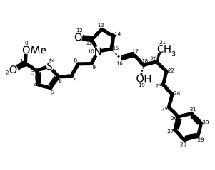 COC(=O)c1ccc(CCCN2C(=O)CC[C@@H]2C=C[C@@H](O)[C@@H](C)CCCCc2ccccc2)s1